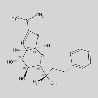 CN(C)C1=N[C@@H]2[C@@H](O)[C@H](O)[C@@H]([C@@](C)(O)CCc3ccccc3)O[C@@H]2S1